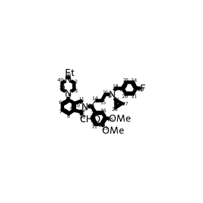 CCN1CCN(c2cccc3c2CN([C@H](CCCN(Cc2ccc(F)cc2)C2CC2)c2ccc(OC)c(OC)c2)C3C=O)CC1